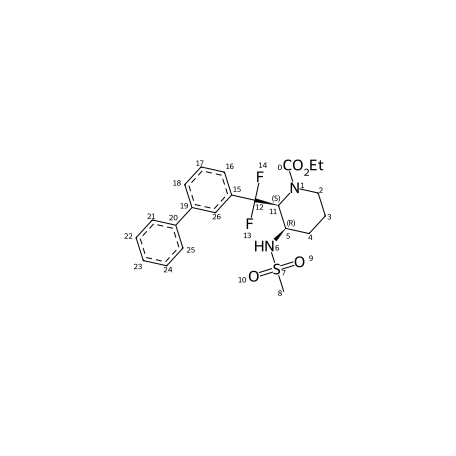 CCOC(=O)N1CCC[C@@H](NS(C)(=O)=O)[C@H]1C(F)(F)c1cccc(-c2ccccc2)c1